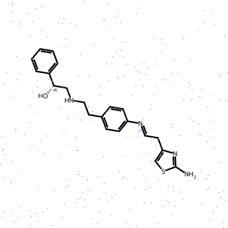 Nc1nc(C/C=N/c2ccc(CCNC[C@H](O)c3ccccc3)cc2)cs1